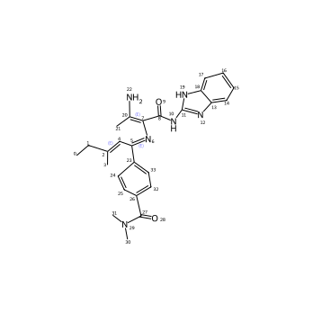 CC/C(C)=C/C(=N\C(C(=O)Nc1nc2ccccc2[nH]1)=C(/C)N)c1ccc(C(=O)N(C)C)cc1